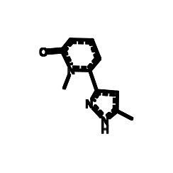 Cc1cc(-c2cccc(=O)n2C)n[nH]1